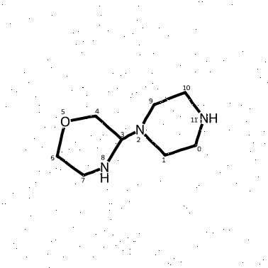 C1CN(C2COCCN2)CCN1